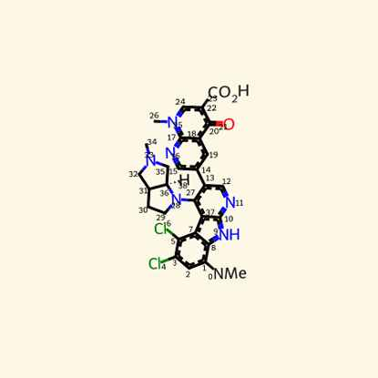 CNc1cc(Cl)c(Cl)c2c1[nH]c1ncc(-c3cnc4c(c3)c(=O)c(C(=O)O)cn4C)c(N3CCC4CN(C)C[C@H]43)c12